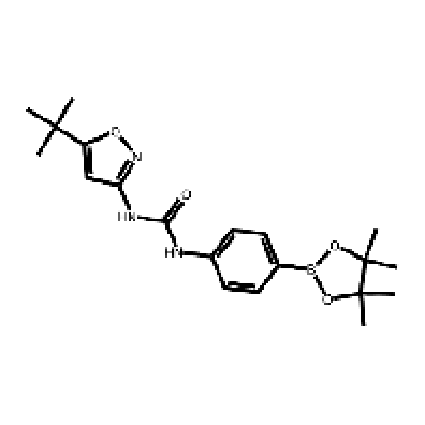 CC(C)(C)c1cc(NC(=O)Nc2ccc(B3OC(C)(C)C(C)(C)O3)cc2)no1